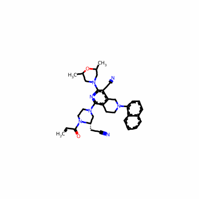 C=CC(=O)N1CCN(c2nc(N3CC(C)OC(C)C3)c(C#N)c3c2CCN(c2cccc4ccccc24)C3)C[C@@H]1CC#N